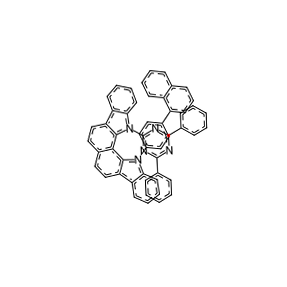 c1ccc(-c2nc(-c3ccccc3)nc(-n3c4ccccc4c4ccc5ccc6c7ccccc7n(-c7ccc(-c8cccc9ccccc89)cc7)c6c5c43)n2)cc1